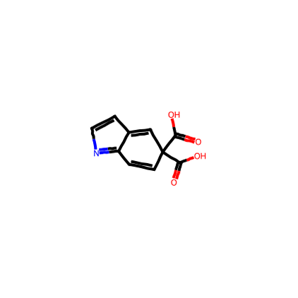 O=C(O)C1(C(=O)O)C=CC2=NC=CC2=C1